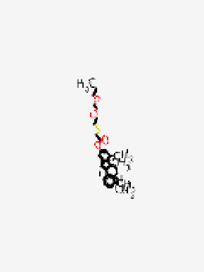 CCCOCCOCCSCC(=O)Oc1cc(C)c2c(c1)C[C@@H]1[C@@]3(C)CCCC(C)(C)[C@@H]3CC[C@@]21C